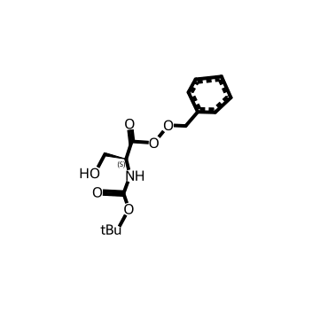 CC(C)(C)OC(=O)N[C@@H](CO)C(=O)OOCc1ccccc1